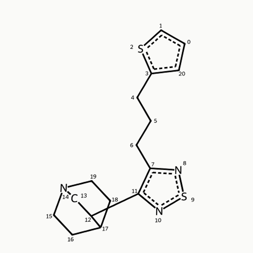 c1csc(CCCc2nsnc2C2CN3CCC2CC3)c1